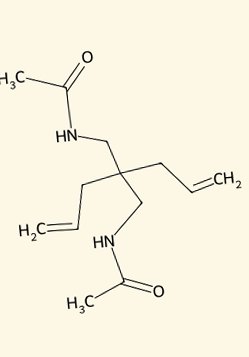 C=CCC(CC=C)(CNC(C)=O)CNC(C)=O